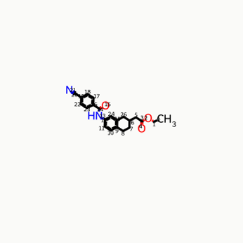 CCOC(=O)CC1CCc2ccc(NC(=O)c3ccc(C#N)cc3)cc2C1